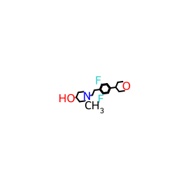 CC1CC(O)CCN1CCc1c(F)cc(C2CCOCC2)cc1F